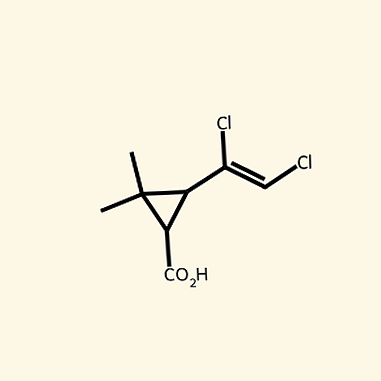 CC1(C)C(C(=O)O)C1C(Cl)=CCl